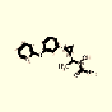 CC([C@@H]1C[C@H]1c1cccc(Oc2ccccn2)c1)N(O)C(N)=O